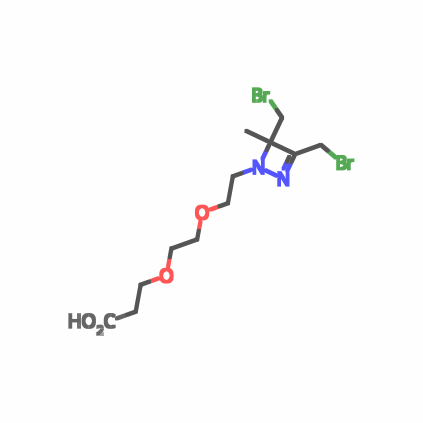 CC1(CBr)C(CBr)=NN1CCOCCOCCC(=O)O